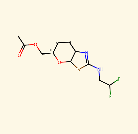 CC(=O)OC[C@H]1[C][C]C2N=C(NCC(F)F)SC2O1